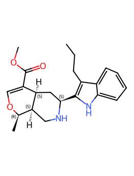 CCCc1c([C@@H]2C[C@@H]3C(C(=O)OC)=CO[C@H](C)[C@@H]3CN2)[nH]c2ccccc12